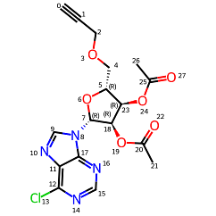 C#CCOC[C@H]1O[C@@H](n2cnc3c(Cl)ncnc32)[C@H](OC(C)=O)[C@@H]1OC(C)=O